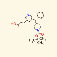 CC(C)(C)OC(=O)N1CCC(=C(c2ccccc2)c2cncc(CCC(=O)O)c2)CC1